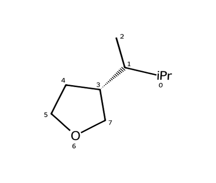 CC(C)C(C)[C@H]1CCOC1